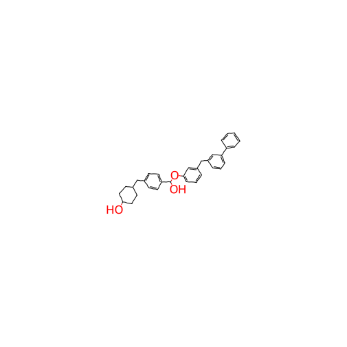 OC1CCC(Cc2ccc(C(O)Oc3cccc(Cc4cccc(-c5ccccc5)c4)c3)cc2)CC1